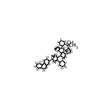 CC1(C)c2ccccc2C2(c3ccccc3-c3c(-c4nnc(-c5ccc6c(ccc7ccccc76)c5)nc4-c4ccccc4)cccc32)c2ccccc21